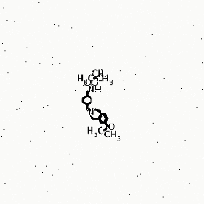 CC(C)C(=O)c1ccc2c(c1)CCN(CC1CCC(CNC(=O)OC(C)(C)C)CC1)CC2